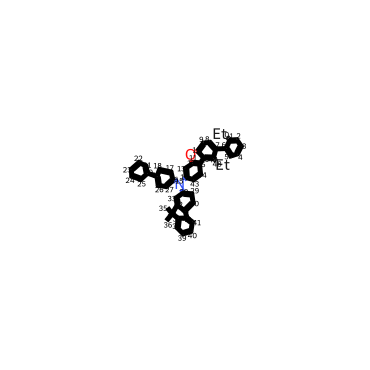 CCc1ccccc1-c1ccc2oc3cc(N(c4ccc(-c5ccccc5)cc4)c4ccc5c(c4)C(C)(C)c4ccccc4-5)ccc3c2c1CC